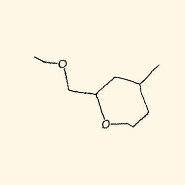 COCC1CC(C)CCO1